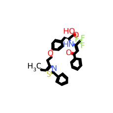 CCc1sc(-c2ccccc2)nc1CCOc1ccc(C[C@H](N/C(=C\C(=O)c2ccccc2)C(F)(F)F)C(=O)O)cc1